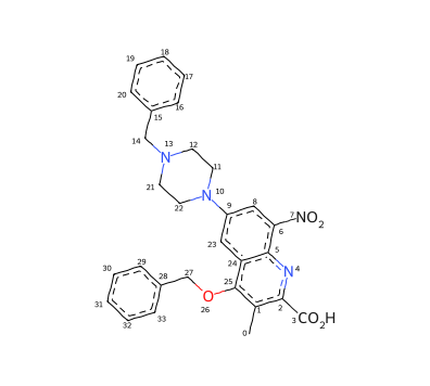 Cc1c(C(=O)O)nc2c([N+](=O)[O-])cc(N3CCN(Cc4ccccc4)CC3)cc2c1OCc1ccccc1